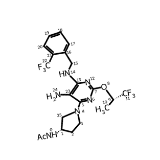 CC(=O)N[C@H]1CCN(c2nc(O[C@@H](C)C(F)(F)F)nc(NCc3ccccc3C(F)(F)F)c2N)C1